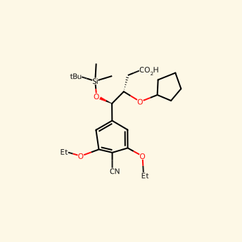 CCOc1cc([C@@H](O[Si](C)(C)C(C)(C)C)[C@H](CC(=O)O)OC2CCCC2)cc(OCC)c1C#N